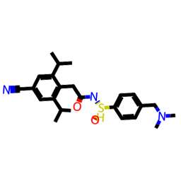 CC(C)c1cc(C#N)cc(C(C)C)c1CC(=O)N=[SH](=O)c1ccc(CN(C)C)cc1